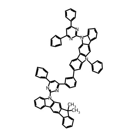 CC1(C)c2ccccc2-c2cc3c4ccccc4n(-c4nc(-c5ccccc5)cc(-c5cccc(-c6ccc7c8cc9c(cc8n(-c8ccccc8)c7c6)c6ccccc6n9-c6nc(-c7ccccc7)cc(-c7ccccc7)n6)c5)n4)c3cc21